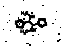 CN[C@H](c1ccsc1)[C@H](NC)c1ccsc1